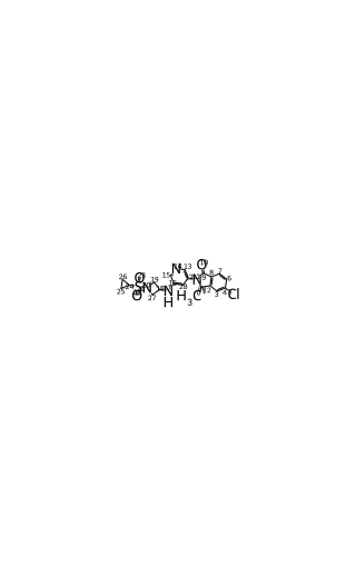 C[C@@H]1c2cc(Cl)ccc2C(=O)N1c1cncc(NC2CN(S(=O)(=O)C3CC3)C2)c1